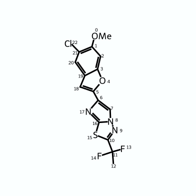 COc1cc2oc(-c3cn4nc(C(C)(F)F)sc4n3)cc2cc1Cl